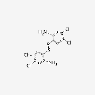 Nc1cc(Cl)c(Cl)cc1SSc1cc(Cl)c(Cl)cc1N